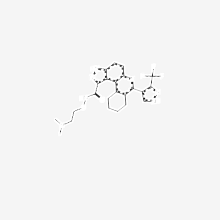 CN(C)CCONC(=O)c1n[nH]c2ccc3nc(-c4c[nH]nc4C(F)(F)F)c4c(c3c12)CCCC4